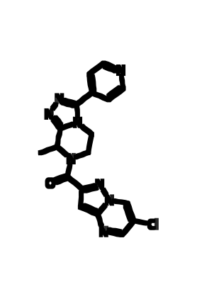 CC1c2nnc(-c3ccncc3)n2CCN1C(=O)c1cc2ncc(Cl)cn2n1